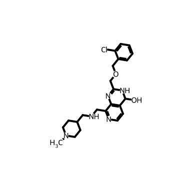 CN1CCC(CNCc2nccc3c2N=C(COCc2ccccc2Cl)NC3O)CC1